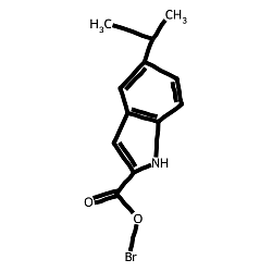 CC(C)c1ccc2[nH]c(C(=O)OBr)cc2c1